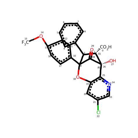 O=C(O)[C@H]1C(c2ccccc2)C2(c3ccc(OC(F)(F)F)cc3)Oc3cc(Cl)cnc3[C@@]1(O)C2=O